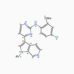 COc1cc(Cl)ccc1Nc1nccc(-c2cn(C(C)C)c3cnccc23)n1